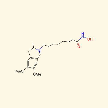 COc1cc2c(cc1OC)CN(CCCCCCCC(=O)NO)C(C)C2